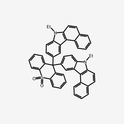 CCn1c2ccc(C3(c4ccc5c(c4)c4c6ccccc6ccc4n5CC)c4ccccc4S(=O)(=O)c4ccccc43)cc2c2c3ccccc3ccc21